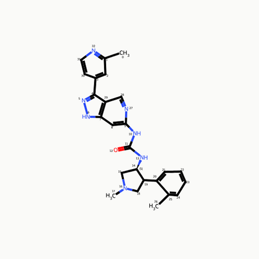 Cc1cc(-c2n[nH]c3cc(NC(=O)N[C@@H]4CN(C)CC4c4ccccc4C)ncc23)ccn1